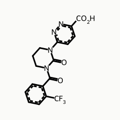 O=C(O)c1ccc(N2CCCN(C(=O)c3ccccc3C(F)(F)F)C2=O)nn1